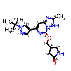 CC1N=C2C=C(c3cnn(C(C)(C)C)c3)N=C(OCC3CNC(=O)C3)N2N1